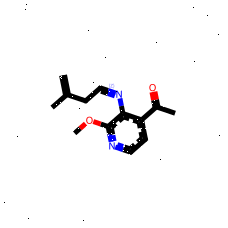 C=C(C)C/C=N\c1c(C(C)=O)ccnc1OC